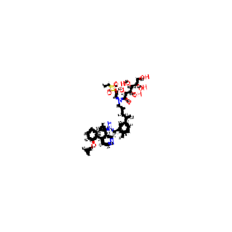 CCS(=O)(=O)CCN(CCCC(C)c1ccc(C)c(CNC2(c3cnccc3-c3ccccc3OC3CC3)CC2)c1)C(=O)C(O)C(O)C(O)C(O)CO